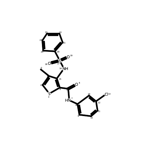 Cc1csc(C(=O)Nc2cccc(Cl)c2)c1NS(=O)(=O)c1ccccc1